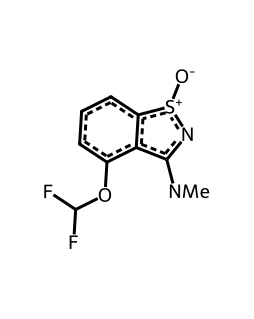 CNc1n[s+]([O-])c2cccc(OC(F)F)c12